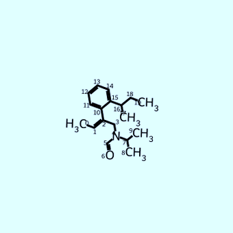 C/C=C(/CN(C=O)C(C)C)c1ccccc1C(C)CC